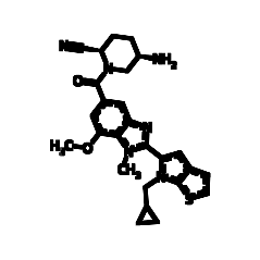 COc1cc(C(=O)N2C[C@H](N)CC[C@@H]2C#N)cc2nc(-c3cc4ccsc4n3CC3CC3)n(C)c12